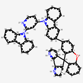 c1ccc2c(c1)Oc1ccc(-c3ccc4c(c3)c3ccccc3n4-c3ccnc(-n4c5ccccc5c5ccccc54)c3)cc1C21c2cccnc2-c2ncccc21